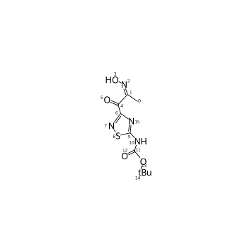 C/C(=N/O)C(=O)c1nsc(NC(=O)OC(C)(C)C)n1